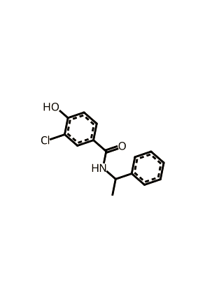 CC(NC(=O)c1ccc(O)c(Cl)c1)c1ccccc1